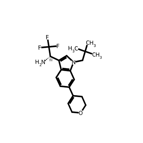 CC(C)(C)Cn1cc([C@H](N)C(F)(F)F)c2ccc(C3=CCOCC3)cc21